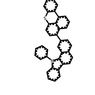 c1ccc(-n2c3ccccc3c3ccc4ccc(-c5ccc6c7c(cccc57)-c5ccccc5S6)cc4c32)cc1